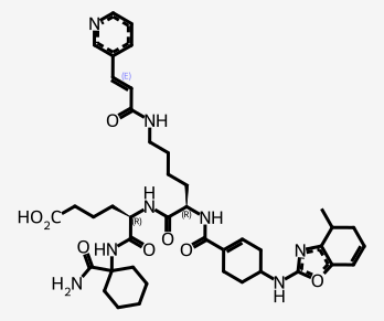 CC1CC=Cc2oc(NC3CC=C(C(=O)N[C@H](CCCCNC(=O)/C=C/c4cccnc4)C(=O)N[C@H](CCCC(=O)O)C(=O)NC4(C(N)=O)CCCCC4)CC3)nc21